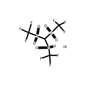 I.O=S(=O)(C(S(=O)(=O)C(F)(F)F)S(=O)(=O)C(F)(F)F)C(F)(F)F